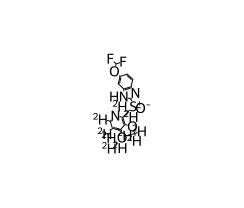 [2H]c1nc(C([2H])([2H])[S+]([O-])c2nc3ccc(OC(F)F)cc3[nH]2)c(OC([2H])([2H])[2H])c(OC([2H])([2H])[2H])c1[2H]